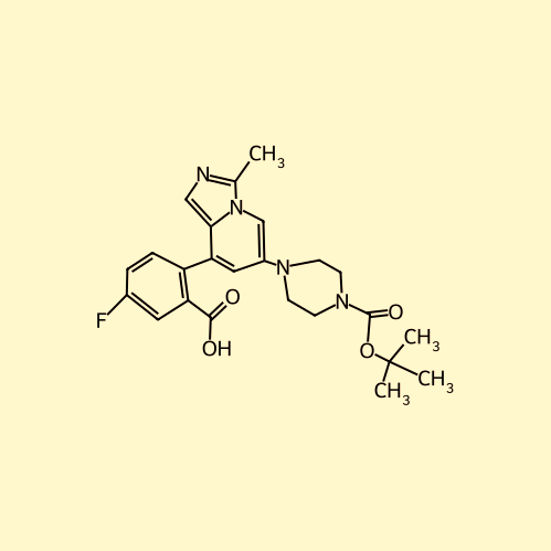 Cc1ncc2c(-c3ccc(F)cc3C(=O)O)cc(N3CCN(C(=O)OC(C)(C)C)CC3)cn12